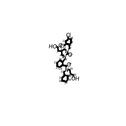 O=C(O)CC1CN(Cc2ccc(Cl)cc2Cl)C(=O)N(Cc2ccccc2C(=O)N(CCCO)Cc2ccccc2)C1